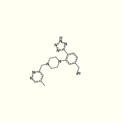 Cc1cnnc(CN2CCN(c3cc(CC(C)C)ccc3-c3nn[nH]n3)CC2)c1